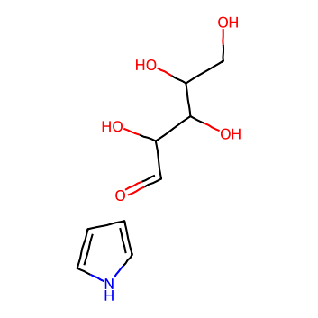 O=CC(O)C(O)C(O)CO.c1cc[nH]c1